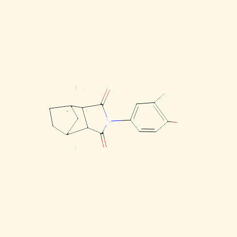 O=C1C2[C@H]3CC[C@H](C3)[C@H]2C(=O)N1c1ccc(O)c(Cl)c1